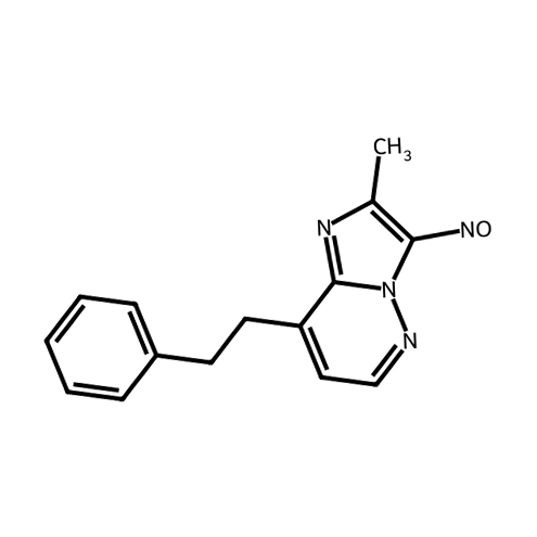 Cc1nc2c(CCc3ccccc3)ccnn2c1N=O